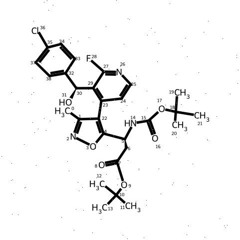 Cc1noc([C@H](CC(=O)OC(C)(C)C)NC(=O)OC(C)(C)C)c1-c1ccnc(F)c1[C@@H](O)c1ccc(Cl)cc1